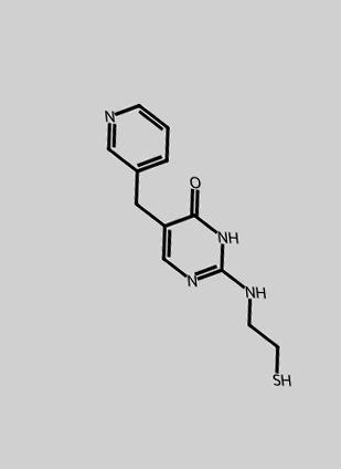 O=c1[nH]c(NCCS)ncc1Cc1cccnc1